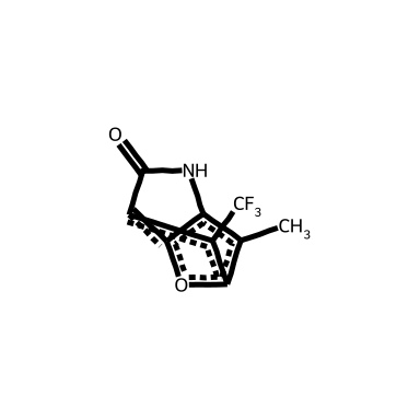 Cc1c2c3oc1c(C(F)(F)F)c3C(=O)N2